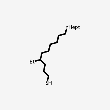 CCCCCCCCCCCCCC(CC)CCCS